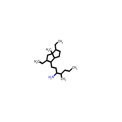 CCCC(C)C(N)CCC1C(CC)CC2(C)C(CC)CCC12